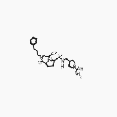 N=C(N)N1CCC(CNC(=O)C2CCC3C(=O)N(CCCc4ccccc4)CC(=O)N23)CC1